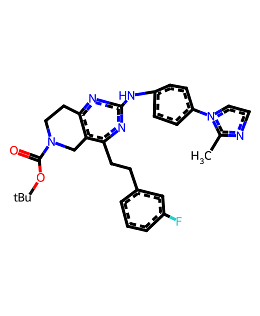 Cc1nccn1-c1ccc(Nc2nc(CCc3cccc(F)c3)c3c(n2)CCN(C(=O)OC(C)(C)C)C3)cc1